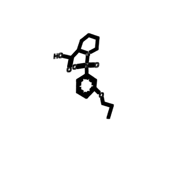 CCCOc1cccc(S(=O)(=O)N2CCCCC2C(=O)O)c1